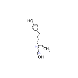 C=C/C(=C\C=C\O)CCCCc1ccc(O)cc1